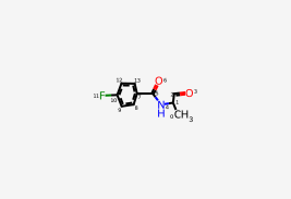 CC(C=O)NC(=O)c1ccc(F)cc1